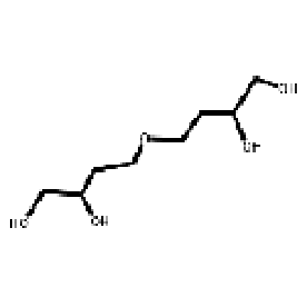 OCC(O)CCOCCC(O)CO